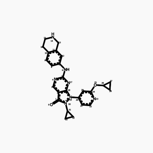 O=c1c2cnc(Nc3ccc4c(c3)CNCC4)nc2n(-c2ccnc(OC3CC3)c2)n1C1CC1